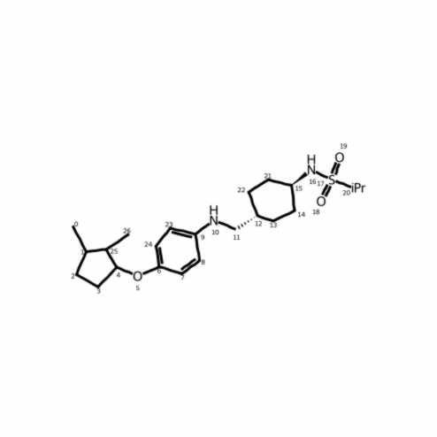 CC1CCC(Oc2ccc(NC[C@H]3CC[C@H](NS(=O)(=O)C(C)C)CC3)cc2)C1C